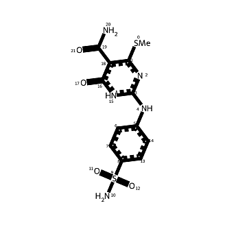 CSc1nc(Nc2ccc(S(N)(=O)=O)cc2)[nH]c(=O)c1C(N)=O